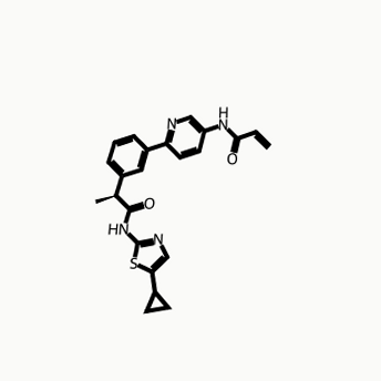 C=CC(=O)Nc1ccc(-c2cccc([C@H](C)C(=O)Nc3ncc(C4CC4)s3)c2)nc1